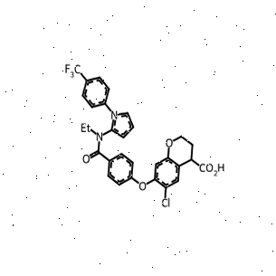 CCN(C(=O)c1ccc(Oc2cc3c(cc2Cl)C(C(=O)O)CCO3)cc1)c1cccn1-c1ccc(C(F)(F)F)cc1